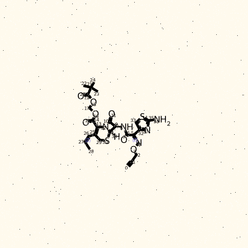 C#CCO/N=C(\C(=O)N[C@@H]1C(=O)N2C(C(=O)OCOC(=O)C(C)(C)C)=C(/C=C\C)CS[C@H]12)c1csc(N)n1